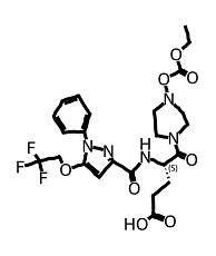 CCOC(=O)ON1CCN(C(=O)[C@H](CCC(=O)O)NC(=O)c2cc(OCC(F)(F)F)n(-c3ccccc3)n2)CC1